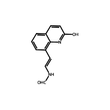 O=CNC=Cc1cccc2ccc(O)nc12